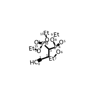 C#CCC(P(=O)(OCC)OCC)P(=O)(OCC)OCC